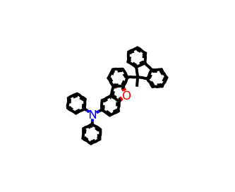 CC1(c2cccc3c2oc2ccc(N(c4ccccc4)c4ccccc4)cc23)c2ccccc2-c2ccccc21